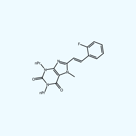 CCCn1c(=O)c2c(nc(C=Cc3ccccc3F)n2C)n(CCC)c1=O